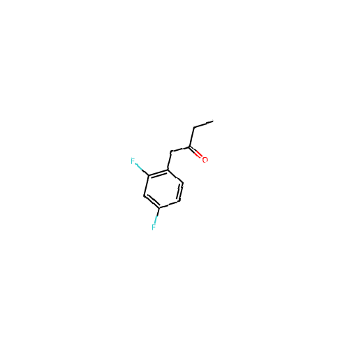 CCC(=O)Cc1ccc(F)cc1F